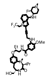 CC[C@H](CNC(=O)c1ccc(OC)c(NCC#Cc2cc3c(N[C@@H]4CCN(C)C[C@@H]4F)cccc3n2CC(F)(F)F)c1)Oc1ccc2c(c1)N(C)[C@@H](C(C)C)C(=O)N[C@H](CO)C2